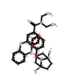 CCN(CC)C(=O)c1ccc2c(c1)Oc1ccccc1N2[C@H]1C[C@H]2CC[C@@H](C1)N2Cc1ccccc1